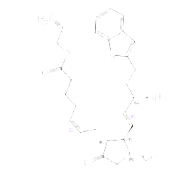 C=CCOC(=O)CCC/C=C\C[C@H]1C(=O)C[C@@H](O)[C@@H]1/C=C/[C@@H](O)CCc1cc2ccccc2s1